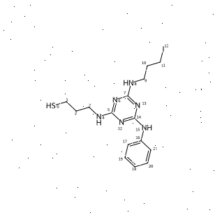 SCCCNc1nc(NCCCI)nc(Nc2ccccc2)n1